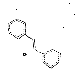 C(=C\c1ccccc1)/c1ccccc1.[KH]